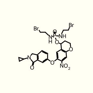 O=C1c2cc(Oc3cc4c(cc3[N+](=O)[O-])OCCC4OP(=O)(NCCBr)NCCBr)ccc2CN1C1CC1